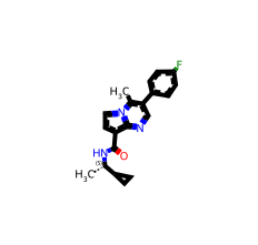 Cc1c(-c2ccc(F)cc2)cnc2c(C(=O)N[C@@H](C)C3CC3)ccn12